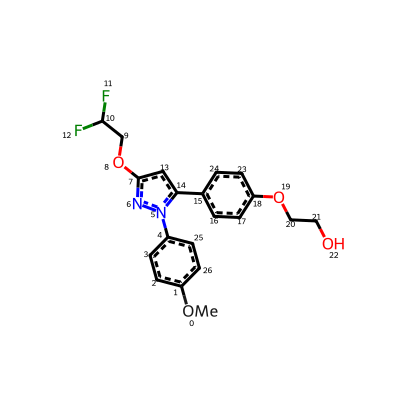 COc1ccc(-n2nc(OCC(F)F)cc2-c2ccc(OCCO)cc2)cc1